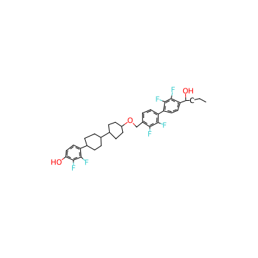 CCCC(O)c1ccc(-c2ccc(COC3CCC(C4CCC(c5ccc(O)c(F)c5F)CC4)CC3)c(F)c2F)c(F)c1F